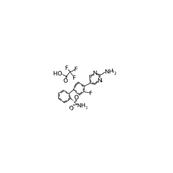 Nc1ncc(-c2ccc(-c3ccccc3S(N)(=O)=O)cc2F)cn1.O=C(O)C(F)(F)F